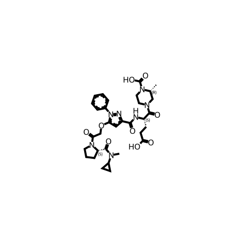 C[C@@H]1CN(C(=O)[C@H](CCC(=O)O)NC(=O)c2cc(OCC(=O)N3CCC[C@H]3C(=O)N(C)C3CC3)n(-c3ccccc3)n2)CCN1C(=O)O